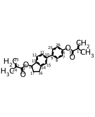 C=C(C)C(=O)Oc1ccc(-c2ccc3c(c2)CCC3OC(=O)C(=C)C)cc1